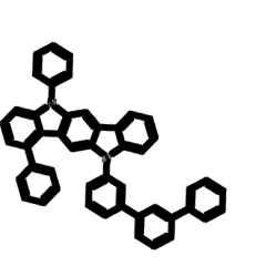 c1ccc(-c2cccc(-c3cccc(-n4c5ccccc5c5cc6c(cc54)c4c(-c5ccccc5)cccc4n6-c4ccccc4)c3)c2)cc1